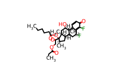 CCCCCC(=O)O[C@]1(C(=O)COC(=O)CC)[C@@H](C)C[C@H]2[C@@H]3C[C@H](F)C4=C(F)C(=O)C=C[C@]4(C)[C@H]3[C@@H](O)C[C@@]21C